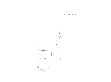 CCCCCCCCCCCCCCCC[N+](CC)(CC)c1ccccc1C.[Cl-]